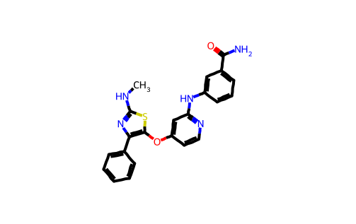 CNc1nc(-c2ccccc2)c(Oc2ccnc(Nc3cccc(C(N)=O)c3)c2)s1